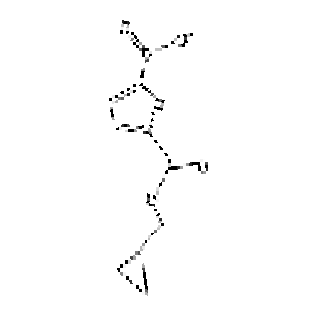 O=C(OCC1CC1)c1ccc([N+](=O)[O-])o1